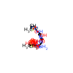 Cc1cc(C)n2c1C=C1C=CC(CCC(=O)NCCC3=CCC(/N=N/c4ccc(C(=O)NCC#Cc5cn([C@H]6CC(OCSSC(C)(C)C)[C@@H](COP(=O)(O)OP(=O)(O)OP(=O)(O)O)O6)c(=O)nc5N)cc4)C(O)=C3)=[N+]1[B-]2(F)F